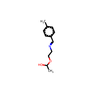 Cc1ccc(C=NCCOC(C)O)cc1